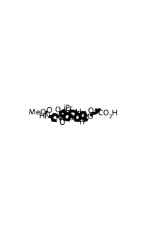 COC(=O)NC1CCN(C(=O)[C@@]23CC[C@]4(C)[C@H](CC[C@@H]5[C@@]6(C)CC[C@H](OC(=O)CC(C)(C)C(=O)O)C(C)(C)[C@@H]6CC[C@]54C)C2=C(C(C)C)C(=O)C3)CC1